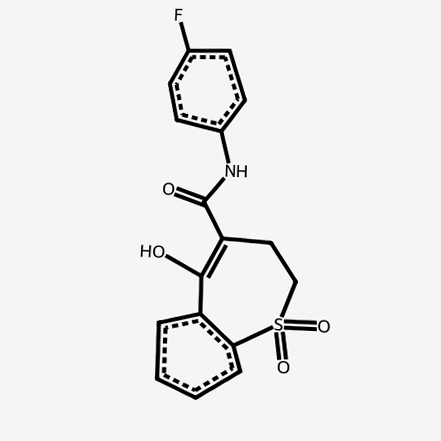 O=C(Nc1ccc(F)cc1)C1=C(O)c2ccccc2S(=O)(=O)CC1